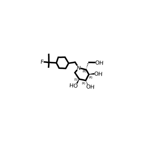 CC(C)(F)C1CCC(CN2C[C@H](O)[C@@H](O)[C@H](O)[C@H]2CO)CC1